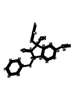 C=C=CC1(O)C(=O)N(Cc2ccccc2)c2ccc(OC)cc21